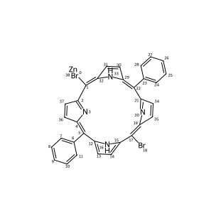 Brc1c2nc(c(-c3ccccc3)c3ccc([nH]3)c(Br)c3nc(c(-c4ccccc4)c4ccc1[nH]4)C=C3)C=C2.[Zn]